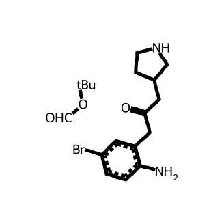 CC(C)(C)OC=O.Nc1ccc(Br)cc1CC(=O)CC1CCNC1